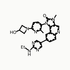 CCNc1ncc(-c2ccc3ncc4c(c3c2)n(-c2ccc(N3CC(O)C3)nc2C)c(=O)n4C)cn1